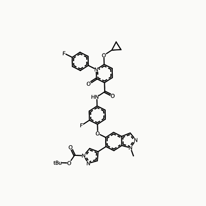 Cn1ncc2cc(Oc3ccc(NC(=O)c4ccc(OC5CC5)n(-c5ccc(F)cc5)c4=O)cc3F)c(-c3cnn(C(=O)OC(C)(C)C)c3)cc21